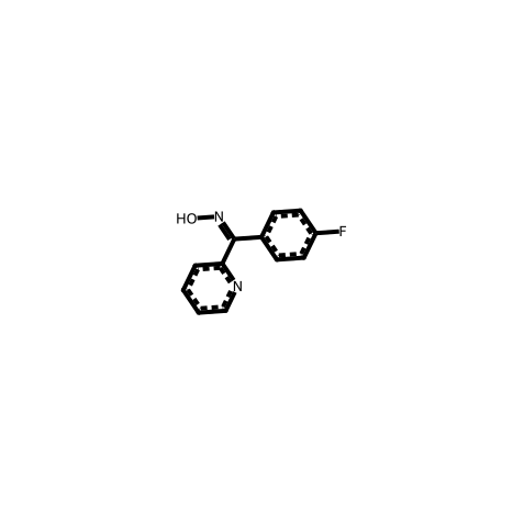 O/N=C(/c1ccc(F)cc1)c1ccccn1